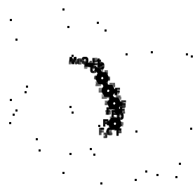 CCOC(OCCOC)c1ccc(-c2ccc(-c3cc(F)c(C(F)(F)Oc4cc(F)c(C(F)(F)F)c(F)c4)c(F)c3)c(F)c2)cc1